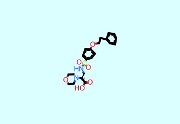 O=C(O)[C@H](CNS(=O)(=O)c1ccc(OCCc2ccccc2)cc1)N1CCOCC1